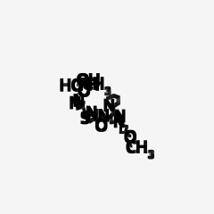 CCOC1CC(n2cc(NC(=O)c3csc(-c4cnn(CO[PH](C)(O)O)c4)n3)c(-c3ccccn3)n2)C1